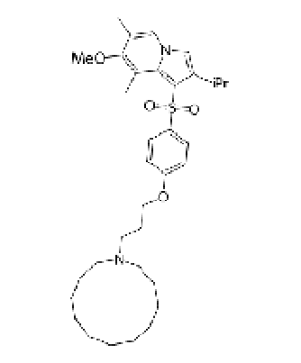 COc1c(C)cn2cc(C(C)C)c(S(=O)(=O)c3ccc(OCCCN4CCCCCCCCCCC4)cc3)c2c1C